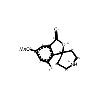 COc1cc(F)c2c(c1)C(=O)OC21CCNCC1